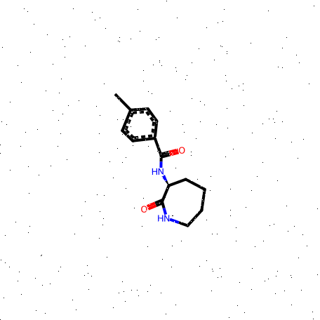 Cc1ccc(C(=O)N[C@H]2CCCCNC2=O)cc1